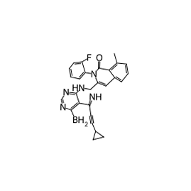 Bc1ncnc(NCc2cc3cccc(C)c3c(=O)n2-c2ccccc2F)c1C(=N)C#CC1CC1